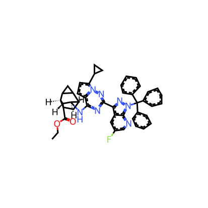 CCOC(=O)[C@H]1[C@H](Nc2nc(-c3nn(C(c4ccccc4)(c4ccccc4)c4ccccc4)c4ncc(F)cc34)nn3c(C4CC4)ccc23)[C@@H]2CC[C@H]1C1CC12